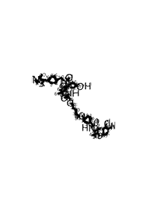 Cc1ncsc1-c1ccc(CNC(=O)[C@@H]2C[C@@H](O)CN2C(=O)[C@@H](NC(=O)COCCCC[C@H](C)Oc2ccc(C(=O)NC3C(C)(C)C(Oc4ccc(C#N)c(Cl)c4)C3(C)C)cc2)C(C)(C)C)cc1